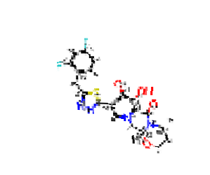 C[C@@H]1CCO[C@@H]2Cn3cc(-c4nnc(Cc5ccc(F)cc5F)s4)c(=O)c(O)c3C(=O)N12